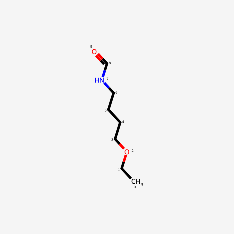 CCOCCCCNC=O